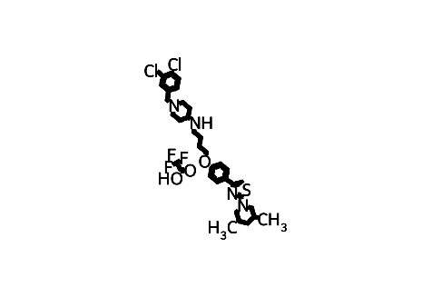 CC1CC(C)CN(c2nc(-c3ccc(OCCCCNC4CCN(Cc5ccc(Cl)c(Cl)c5)CC4)cc3)cs2)C1.O=C(O)C(F)(F)F